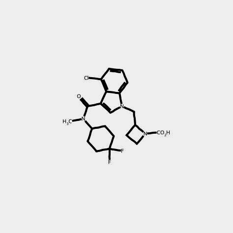 CN(C(=O)c1cn(CC2CCN2C(=O)O)c2cccc(Cl)c12)C1CCC(F)(F)CC1